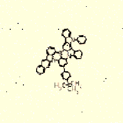 CC(C)(C)c1ccc(-c2cc3c4c(c2)-n2c5ccccc5c5c2c(cc2c6ccccc6n(-c6ccccc6)c25)B4c2cccc4c5cc6ccccc6cc5n-3c24)cc1